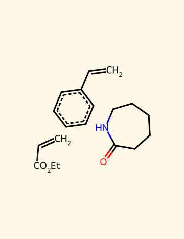 C=CC(=O)OCC.C=Cc1ccccc1.O=C1CCCCCN1